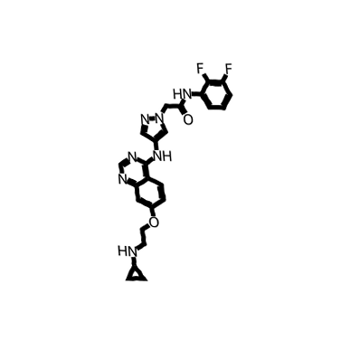 O=C(Cn1cc(Nc2ncnc3cc(OCCNC4CC4)ccc23)cn1)Nc1cccc(F)c1F